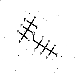 FC(F)(F)C(F)(F)C(F)(F)COC(F)(C(F)(F)F)C(F)(F)F